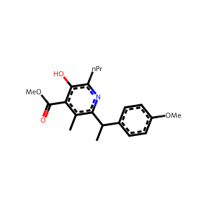 CCCc1nc(C(C)c2ccc(OC)cc2)c(C)c(C(=O)OC)c1O